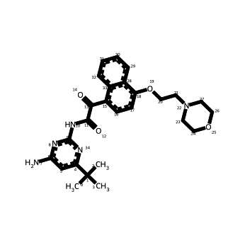 CC(C)(C)c1cc(N)nc(NC(=O)C(=O)c2ccc(OCCN3CCOCC3)c3ccccc23)n1